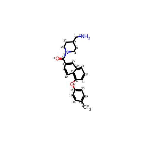 NCC1CCN(C(=O)c2ccc3c(Oc4ccc(C(F)(F)F)cc4)cccc3c2)CC1